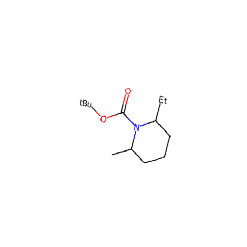 CCC1CCCC(C)N1C(=O)OC(C)(C)C